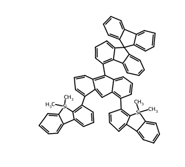 C[Si]1(C)c2ccccc2-c2cccc(-c3cccc4c(-c5cccc6c5-c5ccccc5C65c6ccccc6-c6ccccc65)c5cccc(-c6cccc7c6[Si](C)(C)c6ccccc6-7)c5cc34)c21